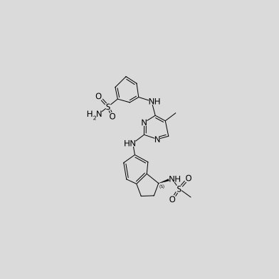 Cc1cnc(Nc2ccc3c(c2)[C@@H](NS(C)(=O)=O)CC3)nc1Nc1cccc(S(N)(=O)=O)c1